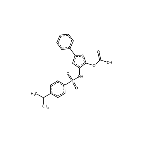 CC(C)c1ccc(S(=O)(=O)Nc2cc(-c3ccccc3)sc2OC(=O)O)cc1